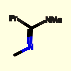 CN=C(NC)C(C)C